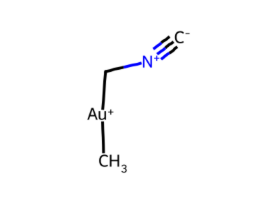 [C-]#[N+][CH2][Au+][CH3]